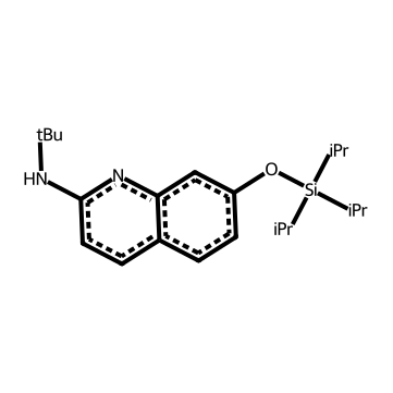 CC(C)[Si](Oc1ccc2ccc(NC(C)(C)C)nc2c1)(C(C)C)C(C)C